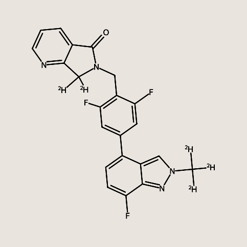 [2H]C1([2H])c2ncccc2C(=O)N1Cc1c(F)cc(-c2ccc(F)c3nn(C([2H])([2H])[2H])cc23)cc1F